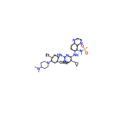 CCc1cc(Nc2ncc(C3CC3)c(Nc3ccc4nccnc4c3N(C)S(C)(=O)=O)n2)c(OC)cc1N1CCC(N(C)C)CC1